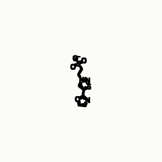 O=S(=O)([O-])CC[n+]1cc(-c2ncco2)sn1